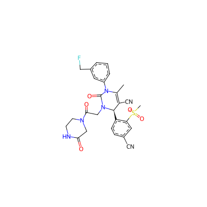 CC1=C(C#N)[C@@H](c2ccc(C#N)cc2S(C)(=O)=O)N(CC(=O)N2CCNC(=O)C2)C(=O)N1c1cccc(CF)c1